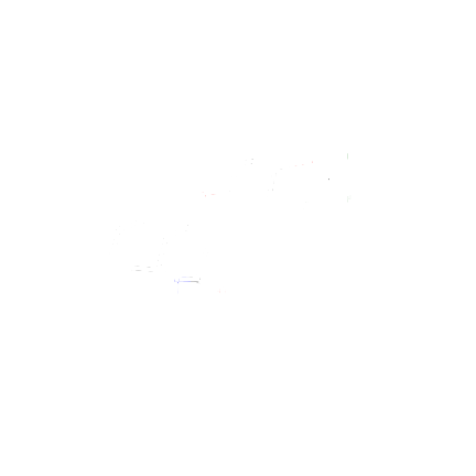 O=c1cc(Oc2ccc(OC(F)(F)F)cc2)c2ccccc2[nH]1